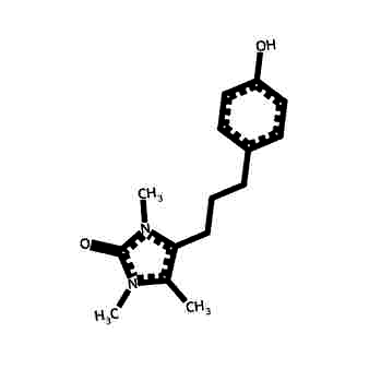 Cc1c(CCCc2ccc(O)cc2)n(C)c(=O)n1C